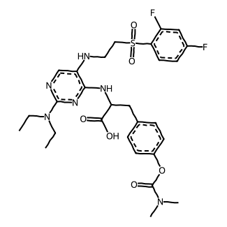 CCN(CC)c1ncc(NCCS(=O)(=O)c2ccc(F)cc2F)c(NC(Cc2ccc(OC(=O)N(C)C)cc2)C(=O)O)n1